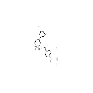 O=C(O)c1cc(C(O)CO)ccc1C(=O)NC1C=C(c2cccc(F)c2)C=CC1(F)C(=O)O